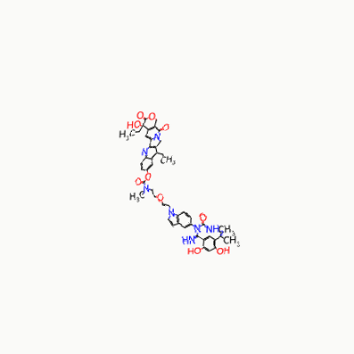 CCc1c2c(nc3ccc(OC(=O)N(C)CCOCCn4ccc5cc(N(C(=N)c6cc(C(C)C)c(O)cc6O)C(N)=O)ccc54)cc13)-c1cc3c(c(=O)n1C2)COC(=O)C3(O)CC